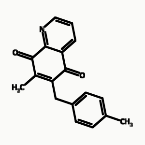 CC1=C(Cc2ccc(C)cc2)C(=O)c2cccnc2C1=O